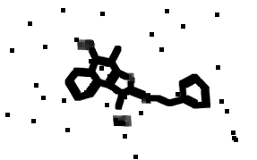 Cc1c(O)c2ccccc2c2c1s/c(=N\CCc1ccccc1)n2C.Cl